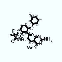 CNc1nc(N)nc2nc(-c3c(Oc4cccc(F)c4)cccc3C(F)(F)F)ccc12.O=C(O)C(F)(F)F